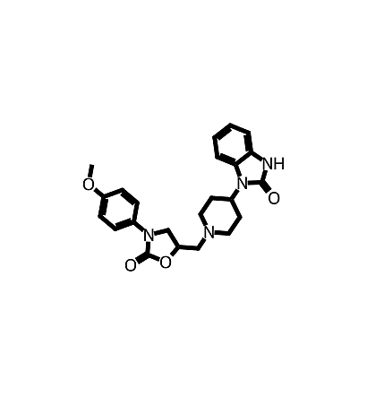 COc1ccc(N2CC(CN3CCC(n4c(=O)[nH]c5ccccc54)CC3)OC2=O)cc1